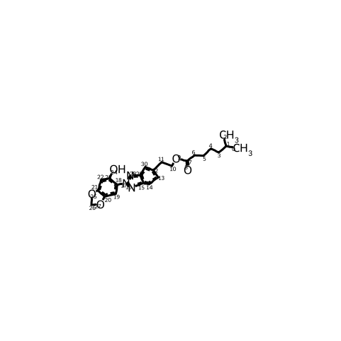 CC(C)CCCCC(=O)OCCc1ccc2nn(-c3cc4c(cc3O)OCO4)nc2c1